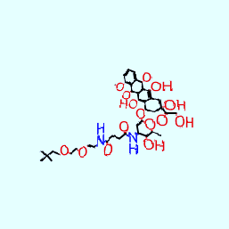 COc1cccc2c1C(=O)c1c(O)c3c(c(O)c1C2=O)C[C@@](O)(C(=O)CO)C[C@@H]3OC1C[C@H](NC(=O)CCC(=O)NCCOCCOCCC(C)(C)C)[C@H](O)[C@H](C)O1